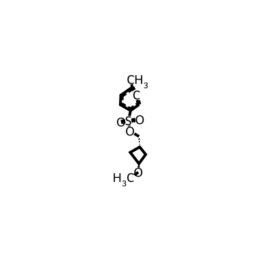 CO[C@H]1C[C@H](COS(=O)(=O)c2ccc(C)cc2)C1